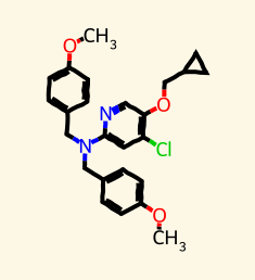 COc1ccc(CN(Cc2ccc(OC)cc2)c2cc(Cl)c(OCC3CC3)cn2)cc1